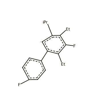 CCc1c(-c2ccc(F)cc2)[c]c(C(C)C)c(CC)c1F